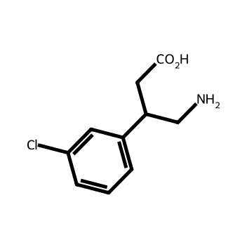 NCC(CC(=O)O)c1cccc(Cl)c1